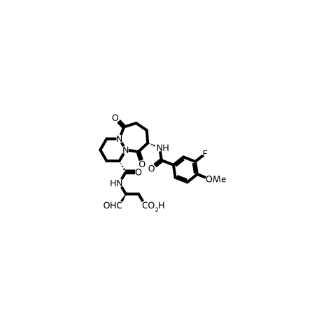 COc1ccc(C(=O)N[C@H]2CCC(=O)N3CCC[C@@H](C(=O)N[C@H](C=O)CC(=O)O)N3C2=O)cc1F